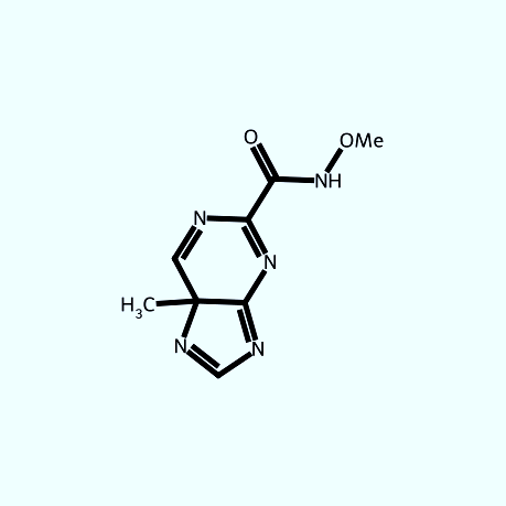 CONC(=O)C1=NC2=NC=NC2(C)C=N1